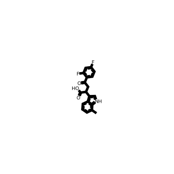 Cc1cccc2c(C(CC(=O)c3ccc(F)cc3F)C(=O)O)c[nH]c12